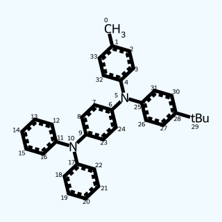 Cc1ccc(N(c2ccc(N(c3ccccc3)c3ccccc3)cc2)c2ccc(C(C)(C)C)cc2)cc1